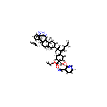 C=C(C)[C@@H]1CC[C@]2(N)CC[C@]3(C)[C@H](CC[C@@H]4C[C@H](C(C)(C)/C(=C\CCC)C5=CC[C@@](COc6ncccc6C#N)(C(=O)OCC)CC5)CC[C@]43C)[C@@H]12